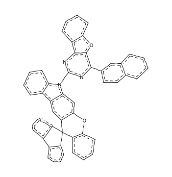 c1ccc2c(c1)Oc1cc3c(cc1C21c2ccccc2-c2ccccc21)c1ccccc1n3-c1nc(-c2ccc3ccccc3c2)c2oc3ccccc3c2n1